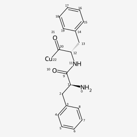 N[C@@H](Cc1ccccc1)C(=O)N[C@@H](Cc1ccccc1)[C](=O)[Cu]